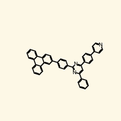 c1ccc(-c2cc(-c3ccc(-c4ccncc4)cc3)nc(-c3ccc(-c4ccc5c6ccccc6c6ccccc6c5c4)cc3)n2)cc1